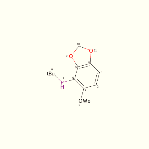 COc1ccc2c(c1PC(C)(C)C)OCO2